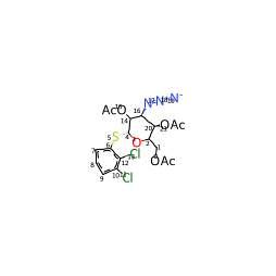 CC(=O)OCC1O[C@H](Sc2cccc(Cl)c2Cl)C(OC(C)=O)[C@@H](N=[N+]=[N-])[C@H]1OC(C)=O